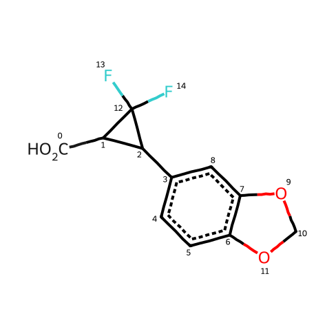 O=C(O)C1C(c2ccc3c(c2)OCO3)C1(F)F